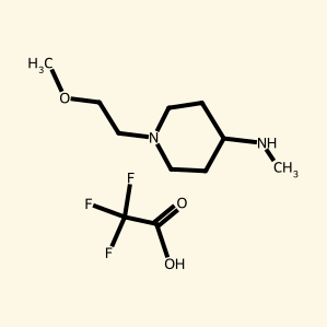 CNC1CCN(CCOC)CC1.O=C(O)C(F)(F)F